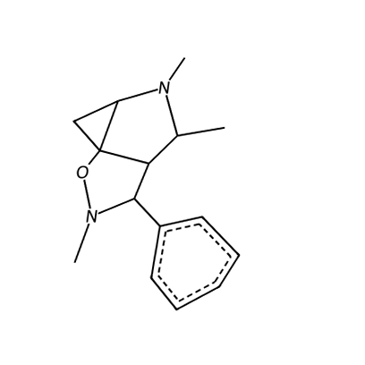 CC1C2C(c3ccccc3)N(C)OC23CC3N1C